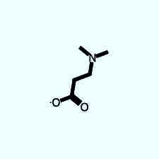 CN(C)CCC([O])=O